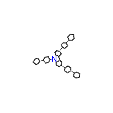 c1ccc(-c2ccc(-c3ccc4c(c3)c3cc(-c5ccc(-c6ccccc6)cc5)ccc3n4-c3ccc(-c4ccccc4)cc3)cc2)cc1